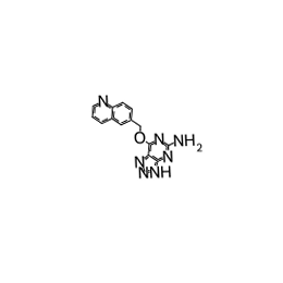 Nc1nc(OCc2ccc3ncccc3c2)c2nn[nH]c2n1